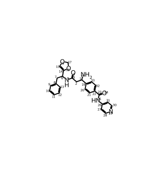 NC(CC(=O)NC(Cc1ccccc1)C1=COCO1)c1ccc(C(=O)Nc2ccncc2)cc1